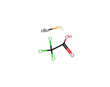 CCCCP.O=C(O)C(Cl)(Cl)Cl